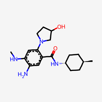 CNc1cc(N2CCC(O)C2)c(C(=O)N[C@H]2CC[C@H](C)CC2)cc1N